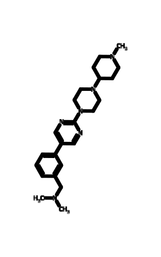 CN(C)Cc1cccc(-c2cnc(N3CCN(C4CCN(C)CC4)CC3)nc2)c1